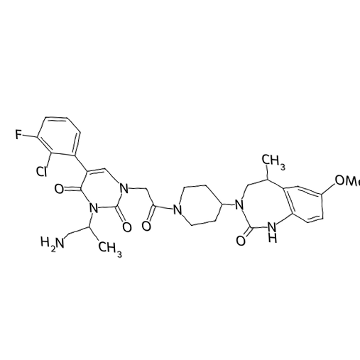 COc1ccc2c(c1)C(C)CN(C1CCN(C(=O)Cn3cc(-c4cccc(F)c4Cl)c(=O)n(C(C)CN)c3=O)CC1)C(=O)N2